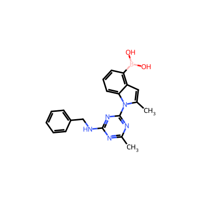 Cc1nc(NCc2ccccc2)nc(-n2c(C)cc3c(B(O)O)cccc32)n1